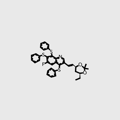 CC[C@H]1C[C@@H](/C=C/c2cnc3c(Sc4ccccc4)c(Sc4ccccc4)c(F)cc3c2Sc2ccccc2)OC(C)(C)O1